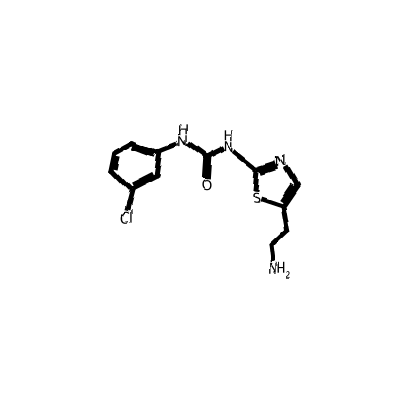 NCCc1cnc(NC(=O)Nc2cccc(Cl)c2)s1